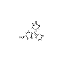 Oc1ccc(C(c2ccccc2)c2cncnc2)cc1